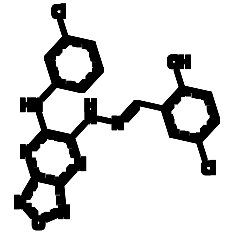 Oc1ccc(Cl)cc1C=NNc1nc2nonc2nc1Nc1cccc(Cl)c1